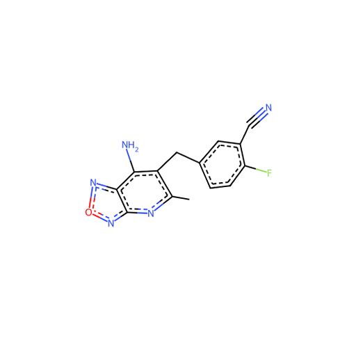 Cc1nc2nonc2c(N)c1Cc1ccc(F)c(C#N)c1